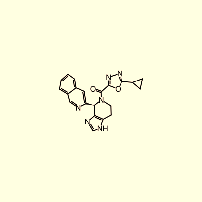 O=C(c1nnc(C2CC2)o1)N1CCc2[nH]cnc2[C@H]1c1cc2ccccc2cn1